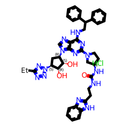 CCc1nnn([C@H]2C[C@@H](n3cnc4c(NCC(c5ccccc5)c5ccccc5)nc(N5CC[C@@H](NC(=O)NCCc6nc7ccccc7[nH]6)C5)nc43)[C@H](O)[C@@H]2O)n1.Cl